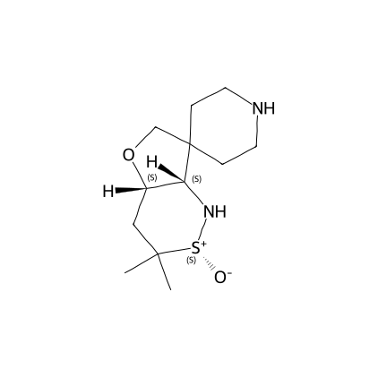 CC1(C)C[C@@H]2OCC3(CCNCC3)[C@@H]2N[S@+]1[O-]